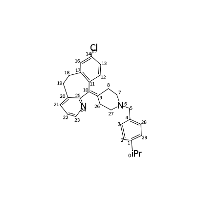 CC(C)c1ccc(CN2CCC(=C3c4ccc(Cl)cc4CCc4cccnc43)CC2)cc1